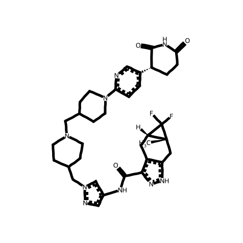 C[C@@]12Cc3[nH]nc(C(=O)Nc4cnn(CC5CCN(CC6CCN(c7ccc([C@H]8CCC(=O)NC8=O)cn7)CC6)CC5)c4)c3C[C@@H]1C2(F)F